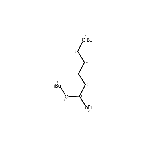 [CH2]CCC(CCCCOCC(C)C)OC(C)CC